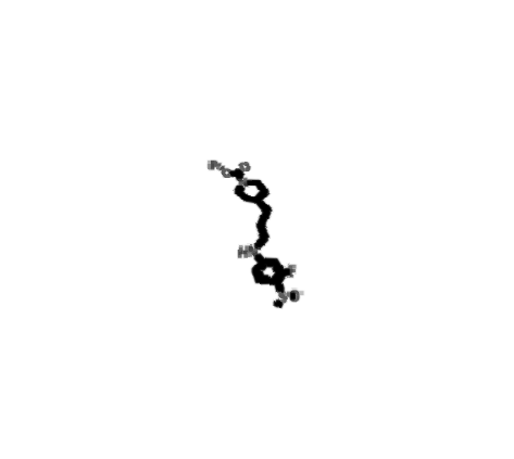 CC(C)OC(=O)N1CCC(CCCNc2ccc([S+](C)[O-])c(F)c2)CC1